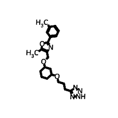 Cc1cccc(-c2nc(COC3CCCC(OCCCc4nn[nH]n4)C3)c(C)o2)c1